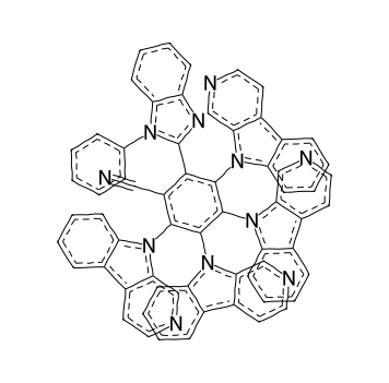 N#Cc1c(-c2nc3ccccc3n2-c2ccccc2)c(-n2c3ccccc3c3ccncc32)c(-n2c3ccccc3c3ccncc32)c(-n2c3ccccc3c3ccncc32)c1-n1c2ccccc2c2ccncc21